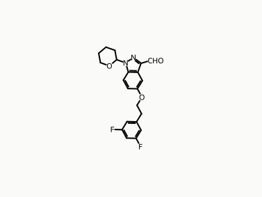 O=Cc1nn(C2CCCCO2)c2ccc(OCCc3cc(F)cc(F)c3)cc12